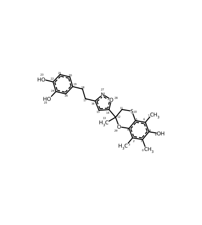 Cc1c(C)c2c(c(C)c1O)SCC(C)(c1cc(CCc3ccc(O)c(O)c3)no1)O2